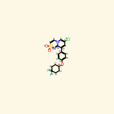 O=S1(=O)C=CN2C=C(Cl)C=C(c3ccc(OC4CCC(F)(F)CC4)cc3)C2=N1